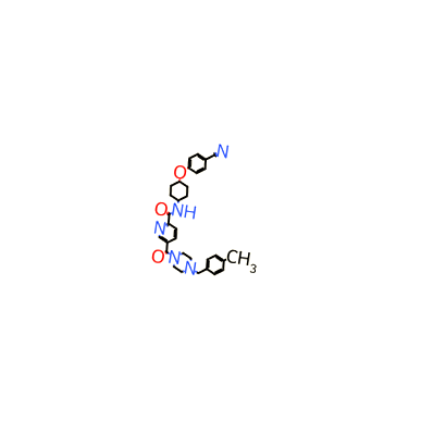 Cc1ccc(CN2CCN(C(=O)c3ccc(C(=O)NC4CCC(Oc5ccc(C#N)cc5)CC4)nc3)CC2)cc1